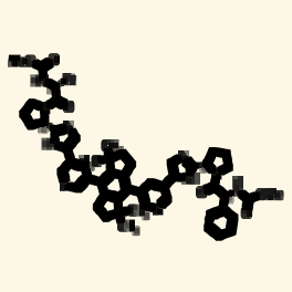 CC[C@@H](NC(=O)OC)C(=O)N1CCC[C@H]1c1ncc(-c2cncc(-c3c4c(c(-c5cncc(-c6cnc([C@@H]7CCCN7C(=O)[C@H](NC(=O)OC)c7ccccc7)[nH]6)c5)c5c3C(C)(C)CC5)C(C)(C)CC4)c2)[nH]1